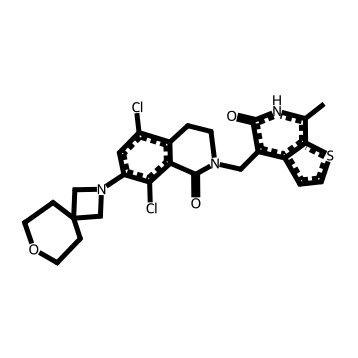 Cc1[nH]c(=O)c(CN2CCc3c(Cl)cc(N4CC5(CCOCC5)C4)c(Cl)c3C2=O)c2ccsc12